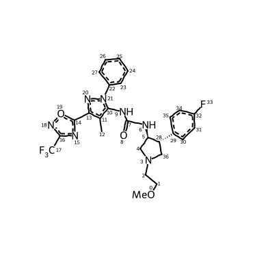 COCCN1C[C@@H](NC(=O)Nc2c(C)c(-c3nc(C(F)(F)F)no3)nn2-c2ccccc2)[C@H](c2ccc(F)cc2)C1